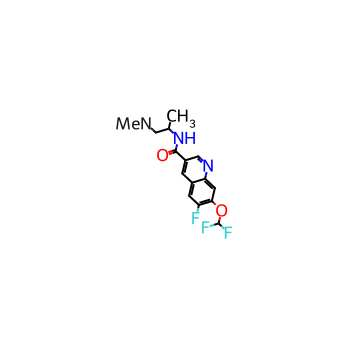 CNCC(C)NC(=O)c1cnc2cc(OC(F)F)c(F)cc2c1